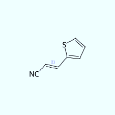 N#C/C=C/c1cccs1